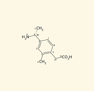 Cc1cc([C@@H](C)N)ccc1CC(=O)O